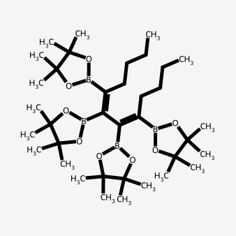 CCCCC(B1OC(C)(C)C(C)(C)O1)=C(B1OC(C)(C)C(C)(C)O1)C(B1OC(C)(C)C(C)(C)O1)=C(CCCC)B1OC(C)(C)C(C)(C)O1